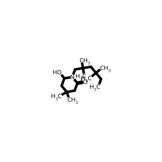 CCC(C)(C)CC(C)(C)CN1C(=O)CC(C)(C)CC1O